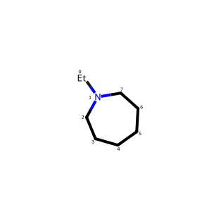 CCN1[CH]CCCCC1